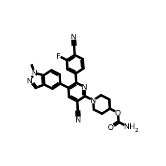 Cn1ncc2cc(-c3cc(C#N)c(N4CCC(OC(N)=O)CC4)nc3-c3ccc(C#N)c(F)c3)ccc21